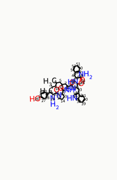 CCCC(C)CCCC(NC(=O)C1CCCN1C(=O)C(N)Cc1ccc(O)cc1)C(=O)NC(Cc1c[nH]c2ccccc12)C(=O)NC(Cc1ccccc1)C(N)=O